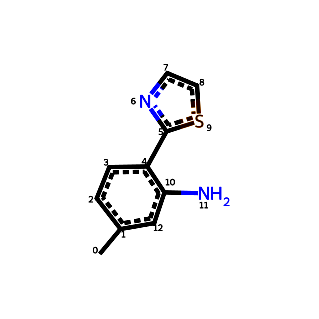 Cc1ccc(-c2nccs2)c(N)c1